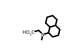 CN(CC(=O)O)C1CCCC2CCCCC21